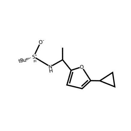 CC(N[S@@+]([O-])C(C)(C)C)c1ccc(C2CC2)o1